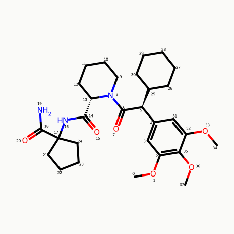 COc1cc([C@@H](C(=O)N2CCCC[C@H]2C(=O)NC2(C(N)=O)CCCC2)C2CCCCC2)cc(OC)c1OC